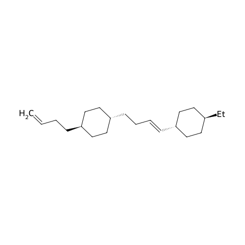 C=CCC[C@H]1CC[C@H](CC/C=C/[C@H]2CC[C@H](CC)CC2)CC1